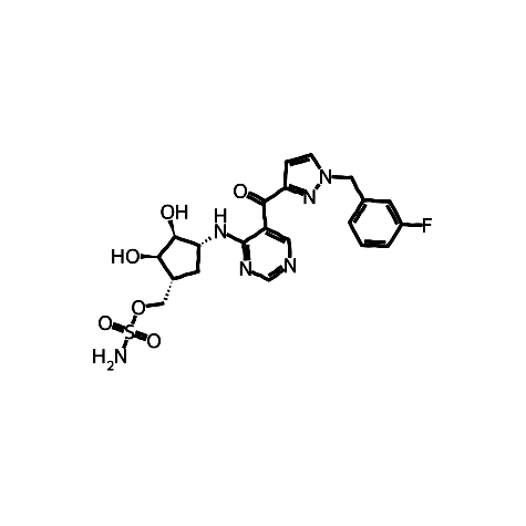 NS(=O)(=O)OC[C@H]1C[C@@H](Nc2ncncc2C(=O)c2ccn(Cc3cccc(F)c3)n2)[C@H](O)[C@@H]1O